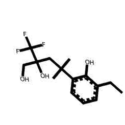 CCc1cccc(C(C)(C)CC(O)(CO)C(F)(F)F)c1O